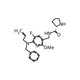 C=CCN(Cc1ccccc1)c1nc(OC)c(CNC(=O)[C@@H]2CCCN2)cc1F